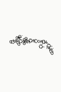 Cc1ccccc1[C@@H]1CN(Cc2cnc(N3CCOC[C@@H]3C)c(C)c2)CCN1C1CC2(CCN(c3ccc(C(=O)NS(=O)(=O)c4cc5c(c([N+](=O)[O-])c4)N[C@H](C4CCOCC4)CO5)cc3)CC2)C1